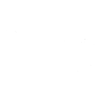 Cc1c(COc2cc(OCc3cncc(C#N)c3)c(CN[C@@](C)(CO)C(=O)O)cc2Cl)cccc1-c1cccc(OCCCN2CCC(F)(F)C2)c1C